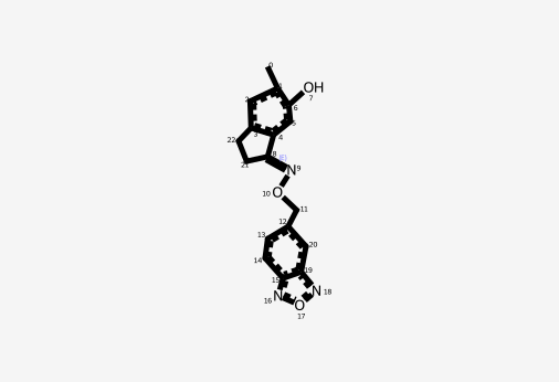 Cc1cc2c(cc1O)/C(=N/OCc1ccc3nonc3c1)CC2